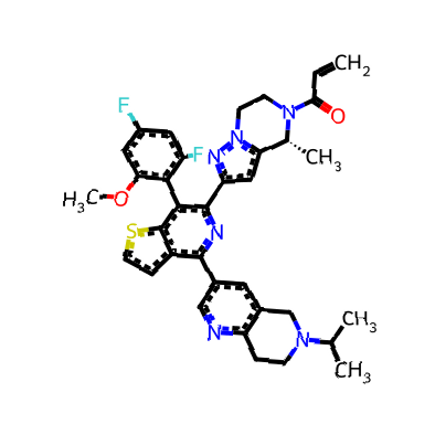 C=CC(=O)N1CCn2nc(-c3nc(-c4cnc5c(c4)CN(C(C)C)CC5)c4ccsc4c3-c3c(F)cc(F)cc3OC)cc2[C@H]1C